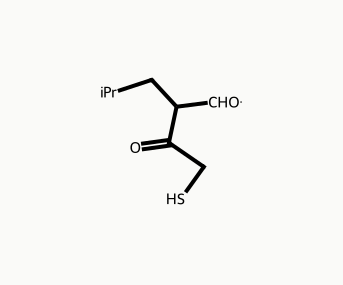 CC(C)CC([C]=O)C(=O)CS